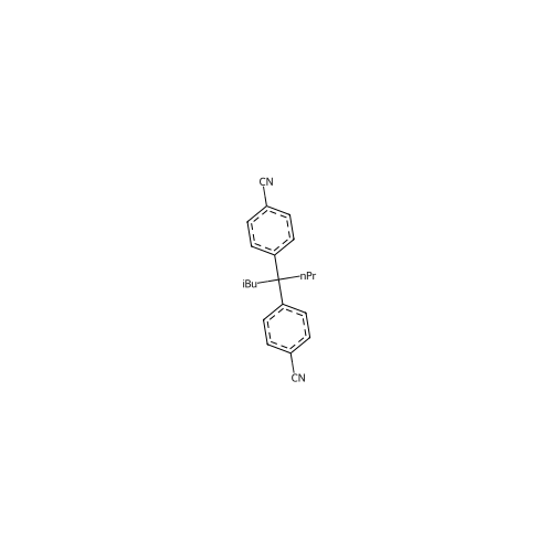 CCCC(c1ccc(C#N)cc1)(c1ccc(C#N)cc1)C(C)CC